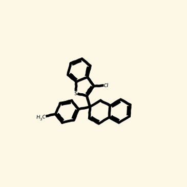 Cc1ccc(C2(c3sc4ccccc4c3Cl)C=Cc3ccccc3C2)cc1